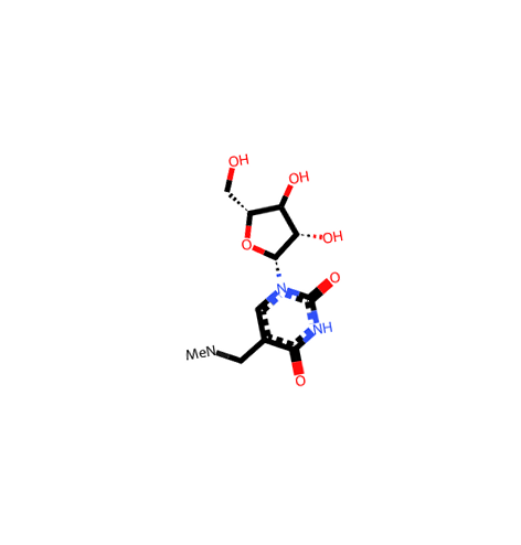 CNCc1cn([C@@H]2O[C@H](CO)C(O)[C@@H]2O)c(=O)[nH]c1=O